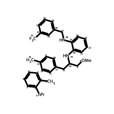 CCCc1ccccc1C.COCC(Cc1ccc(C)cc1)Nc1ccccc1NCc1cccc(C(F)(F)F)c1